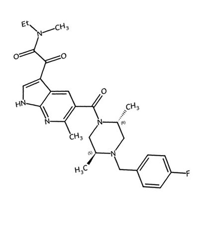 CCN(C)C(=O)C(=O)c1c[nH]c2nc(C)c(C(=O)N3C[C@H](C)N(Cc4ccc(F)cc4)C[C@H]3C)cc12